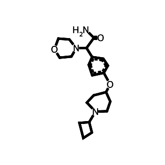 NC(=O)C(c1ccc(OC2CCN(C3CCC3)CC2)cc1)N1CCOCC1